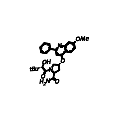 COc1ccc2c(O[C@@H]3CC(C(N)=O)N(C(=O)[C@@H](O)C(C)(C)C)C3)cc(-c3ccccc3)nc2c1